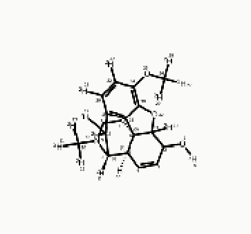 [2H]OC1C=C[C@@H]2[C@@]34CCN(C([2H])([2H])[2H])[C@]2([2H])C([2H])([2H])c2c([2H])c([2H])c(OC([2H])([2H])[2H])c(c23)OC14[2H]